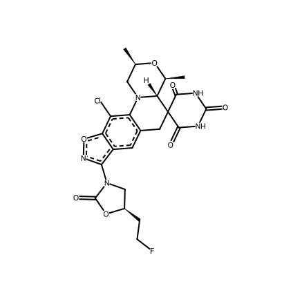 C[C@@H]1CN2c3c(cc4c(N5C[C@@H](CCF)OC5=O)noc4c3Cl)CC3(C(=O)NC(=O)NC3=O)[C@H]2[C@H](C)O1